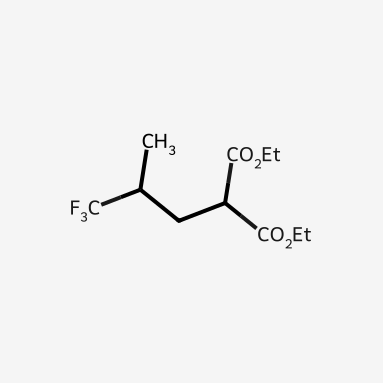 CCOC(=O)C(CC(C)C(F)(F)F)C(=O)OCC